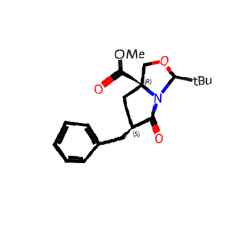 COC(=O)[C@@]12COC(C(C)(C)C)N1C(=O)[C@@H](Cc1ccccc1)C2